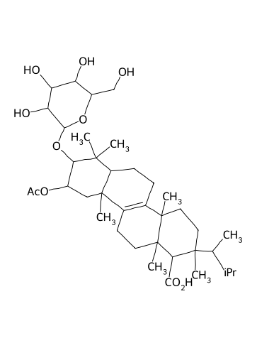 CC(=O)OC1CC2(C)C3=C(CCC2C(C)(C)C1OC1OC(CO)C(O)C(O)C1O)C1(C)CCC(C)(C(C)C(C)C)C(C(=O)O)C1(C)CC3